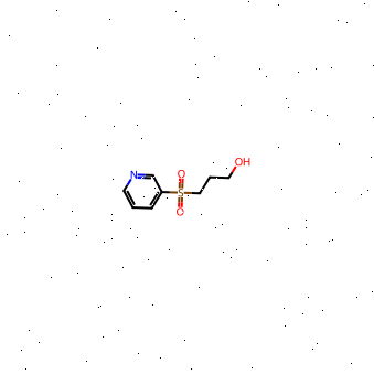 O=S(=O)(CCCO)c1cccnc1